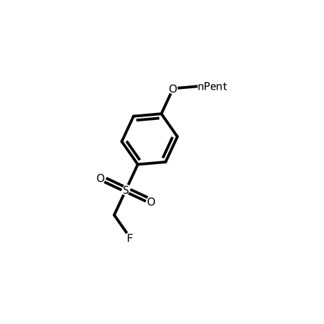 CCCCCOc1ccc(S(=O)(=O)CF)cc1